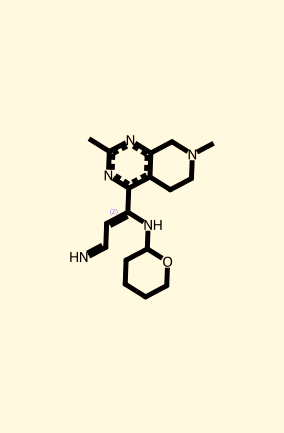 Cc1nc2c(c(/C(=C/C=N)NC3CCCCO3)n1)CCN(C)C2